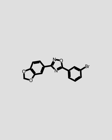 Brc1cccc(-c2nc(-c3ccc4c(c3)OCO4)no2)c1